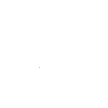 N#Cc1cc(S(=O)(=O)Nc2ncc(Cl)s2)ccc1Oc1ccc(F)c(F)c1